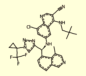 Cc1cncc2cccc([C@H](Nc3cc(Cl)c4ncc(C#N)c(NCC(C)(C)C)c4c3)c3cn(C4(C(F)(F)F)CC4)nn3)c12